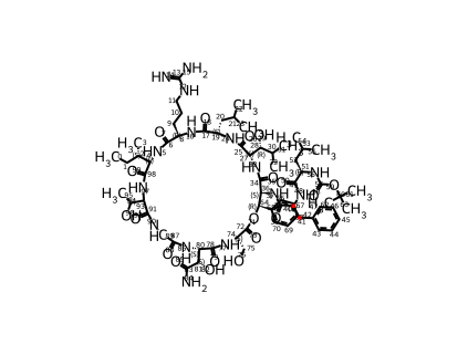 CC[C@H](C)[C@@H]1NC(=O)[C@@H](CCCNC(=N)N)NC(=O)[C@H](CC(C)C)NC(=O)[C@H]([C@H](O)C(C)C)NC(=O)[C@@H](NC(=O)[C@H](Cc2ccccc2)NC(=O)[C@@H](CC(C)C)NC(=O)OC(C)(C)C)[C@@H](c2ccccc2)OC(=O)[C@H](CO)NC(=O)[C@H]([C@H](O)C(N)=O)NC(=O)CNC(=O)C([C@H](C)O)NC1=O